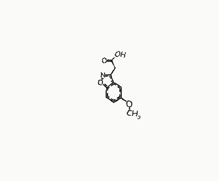 COc1ccc2onc(CC(=O)O)c2c1